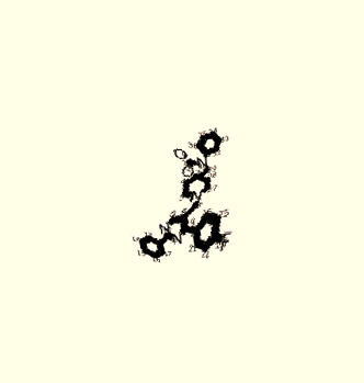 O=C1OC2(CCN(Cc3cnc(-c4ccccc4)nc3-c3ccc(F)cc3)CC2)CN1c1ccccc1